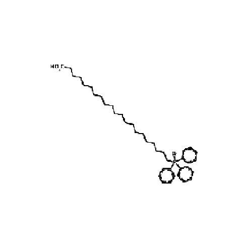 O=C(O)CCCCCCCCCCCCCCCCCCCCP(Br)(c1ccccc1)(c1ccccc1)c1ccccc1